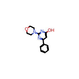 Oc1cc(-c2ccccc2)nc(N2CCOCC2)n1